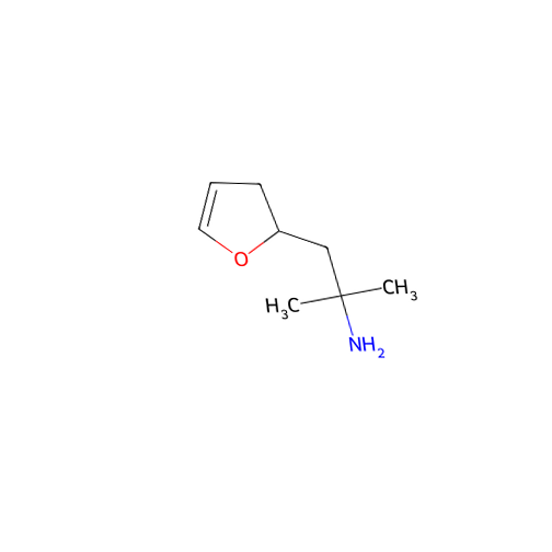 CC(C)(N)CC1CC=CO1